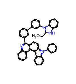 CCC1Nc2ccccc2N1c1cccc(-c2cccc(-c3nc4ccccc4c4c3ccc3c4c4ccccc4n3-c3ccccc3)c2)c1